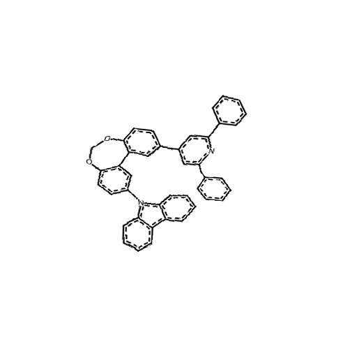 c1ccc(-c2cc(-c3ccc4c(c3)-c3cc(-n5c6ccccc6c6ccccc65)ccc3OCO4)cc(-c3ccccc3)n2)cc1